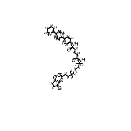 CC(C)(CCOC(C)(C)CCC(=O)ON1C(=O)CCC1=O)NC(=O)CCCC(=O)Nc1ccc(-c2nnc(-c3ccccn3)nn2)nc1